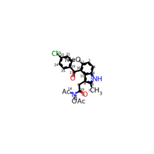 COc1ccc2[nH]c(C)c(CC(=O)N(OC(C)=O)C(C)=O)c2c1C(=O)c1ccc(Cl)cc1